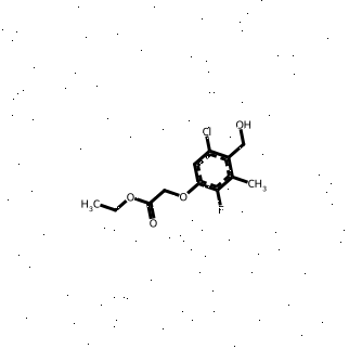 CCOC(=O)COc1cc(Cl)c(CO)c(C)c1F